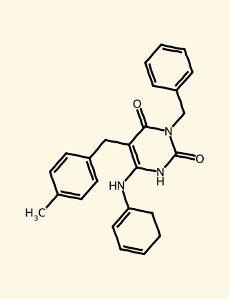 Cc1ccc(Cc2c(NC3=CC=CCC3)[nH]c(=O)n(Cc3ccccc3)c2=O)cc1